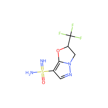 N=S(N)(=O)c1cnn2c1OC(C(F)(F)F)C2